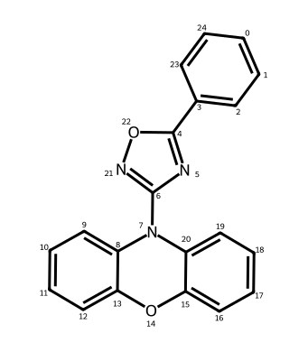 c1ccc(-c2nc(N3c4ccccc4Oc4ccccc43)no2)cc1